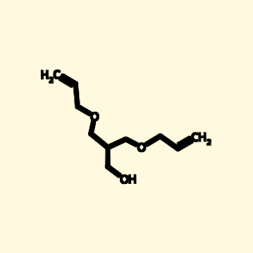 C=CCOCC(CO)COCC=C